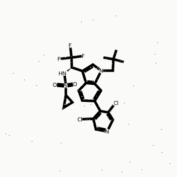 CC(C)(C)Cn1cc([C@H](NS(=O)(=O)C2CC2)C(F)(F)F)c2ccc(-c3c(Cl)cncc3Cl)cc21